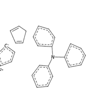 C1=CCC=C1.[Fe+2].c1cc[cH-]c1.c1ccc(N(c2ccccc2)c2ccccc2)cc1